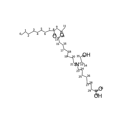 CCCCCCCCC(CCC)OC(=O)CCCCCCCN(CCCCCCCC(=O)O)C(C)CO